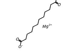 O=C([O-])CCCCCCCCCCC(=O)[O-].[Mg+2]